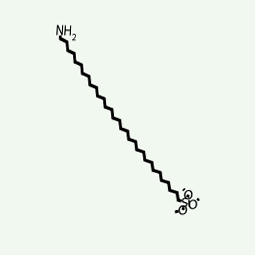 CO[Si](CCCCCCCCCCCCCCCCCCCCCCCCCCCCCCCN)(OC)OC